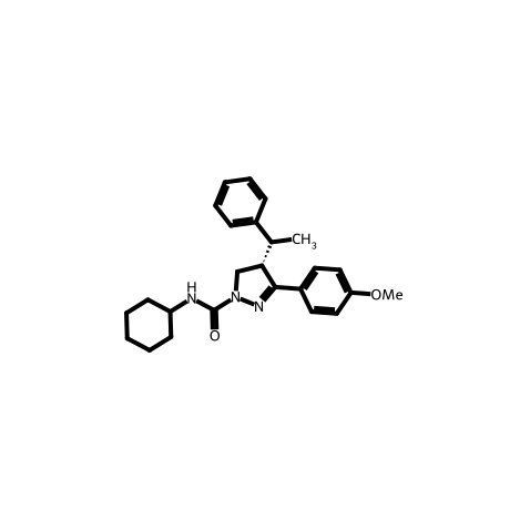 COc1ccc(C2=NN(C(=O)NC3CCCCC3)C[C@@H]2C(C)c2ccccc2)cc1